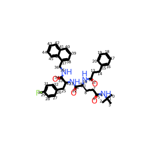 CC(C)(C)NC(=O)CC[C@H](NC(=O)CCc1ccccc1)C(=O)NC(Cc1ccc(F)cc1)C(=O)NCc1cccc2ccccc12